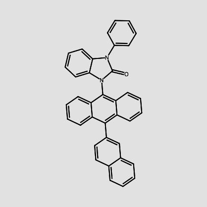 O=c1n(-c2ccccc2)c2ccccc2n1-c1c2ccccc2c(-c2ccc3ccccc3c2)c2ccccc12